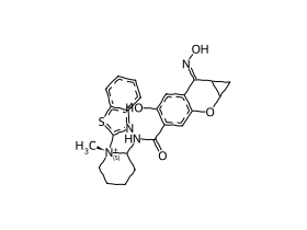 C[N@+]1(c2nc3ccccc3s2)CCCCC1NC(=O)c1cc2c(cc1O)C(=NO)C1CC1O2